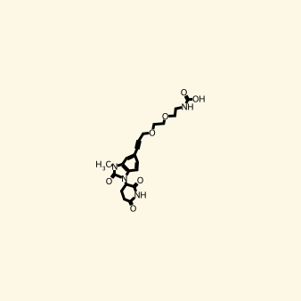 Cn1c(=O)n(C2CCC(=O)NC2=O)c2ccc(C#CCOCCOCCNC(=O)O)cc21